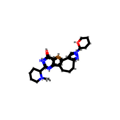 CN1CCCCC1c1nc2c3c(sc2c(=O)[nH]1)-c1cn(C2CCCCO2)nc1CCC3